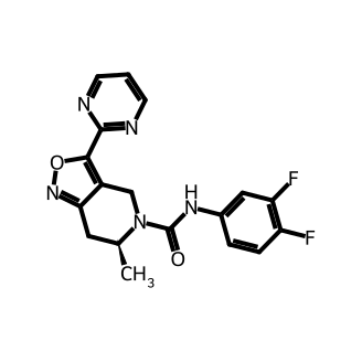 C[C@H]1Cc2noc(-c3ncccn3)c2CN1C(=O)Nc1ccc(F)c(F)c1